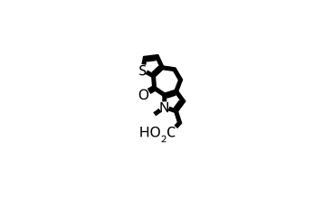 Cn1c(CC(=O)O)cc2c1C(=O)c1sccc1CC2